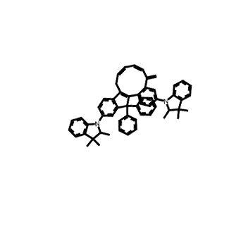 C=C1/C=C\C=C/CC2=C(c3ccc(N4c5ccccc5C(C)(C)C4C)cc31)C(c1ccccc1)(c1ccccc1)c1cc(N3c4ccccc4C(C)(C)C3C)ccc12